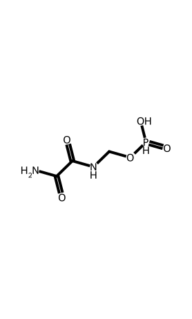 NC(=O)C(=O)NCO[PH](=O)O